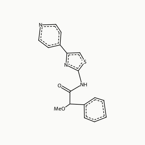 COC(C(=O)Nc1nc(-c2ccncc2)cs1)c1ccccc1